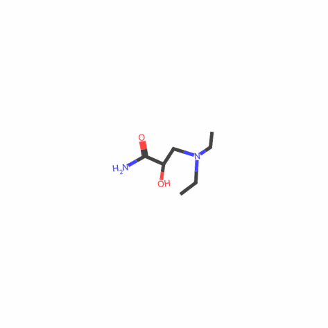 CCN(CC)CC(O)C(N)=O